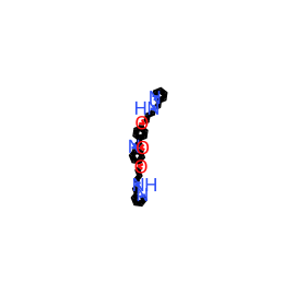 c1ccc(CNCCCOc2ccc(-c3nc4ccc(OCCCNCc5ccccn5)cc4o3)cc2)nc1